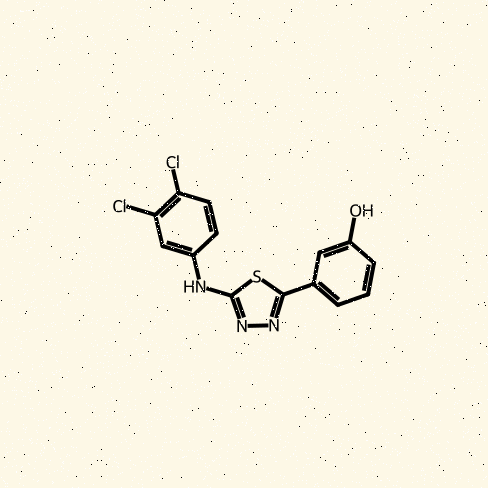 Oc1cccc(-c2nnc(Nc3ccc(Cl)c(Cl)c3)s2)c1